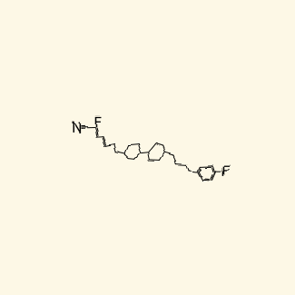 N#CC(F)=CC=CCCC1CCC(C2CCC(CCCCc3ccc(F)cc3)CC2)CC1